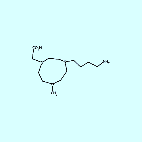 CN1CCN(CCCCN)CCN(CC(=O)O)CC1